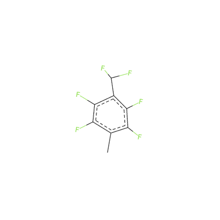 Cc1c(F)c(F)c(C(F)F)c(F)c1F